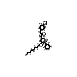 CCCCCCCCOc1cc(=NC(=O)Cc2ccc(Cl)cc2)cnn1-c1ccccc1